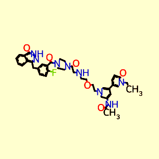 CCn1cc(C2=CN(CCOCCNCC(=O)N3CCN(C(=O)c4cc(Cc5n[nH]c(=O)c6ccccc56)ccc4F)CC3)CC(NC(C)=O)=C2)ccc1=O